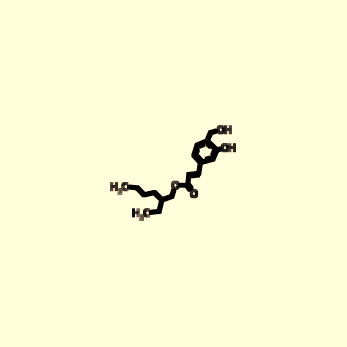 CCCCC(CC)COC(=O)/C=C/c1ccc(CO)c(O)c1